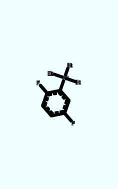 [CH2]C[N+](CC)(CC)c1cc(F)ccc1F